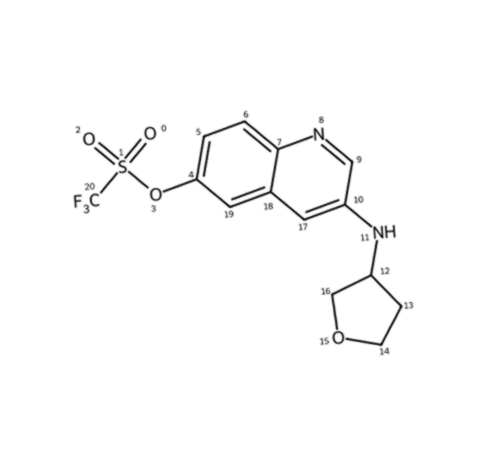 O=S(=O)(Oc1ccc2ncc(NC3CCOC3)cc2c1)C(F)(F)F